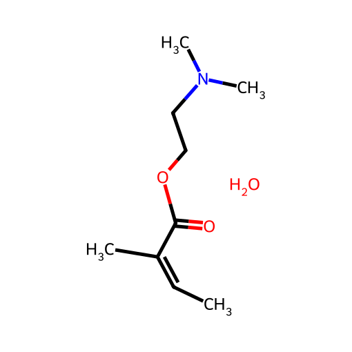 CC=C(C)C(=O)OCCN(C)C.O